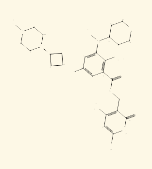 CCN(c1cc(O[C@H]2C[C@H](N3CCN(C(C)C)CC3)C2)cc(C(=O)NCc2c(C)cc(C)[nH]c2=O)c1C)C1CCOCC1